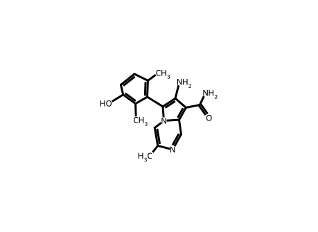 Cc1cn2c(-c3c(C)ccc(O)c3C)c(N)c(C(N)=O)c2cn1